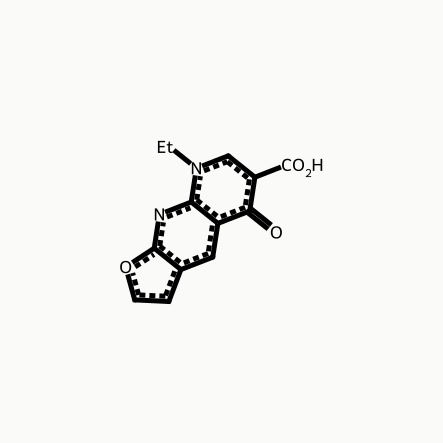 CCn1cc(C(=O)O)c(=O)c2cc3ccoc3nc21